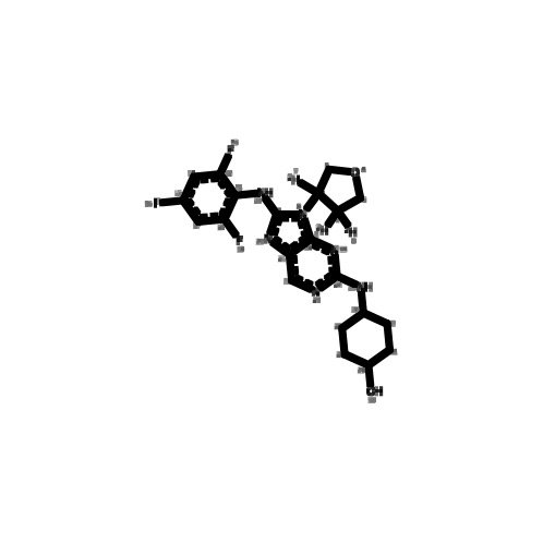 [2H]C1([2H])COCC1([2H])n1c(Nc2c(F)cc(F)cc2F)nc2cnc(NC3CCC(O)CC3)nc21